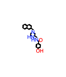 O=C(NCC1CN(Cc2ccc3ccccc3c2)CCN1)c1ccc(O)cc1